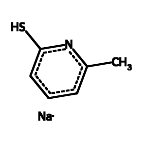 Cc1cccc(S)n1.[Na]